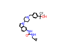 CC(O)(c1ccc(CN2CCC(n3ccc4ccc(NC(=O)NCC5CC5)cc43)CC2)cc1)C(F)(F)F